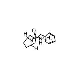 CNC(=O)N1[C@@H]2CC[C@H]1CC(Cc1ccccc1)C2